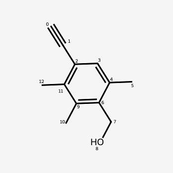 C#Cc1cc(C)c(CO)c(C)c1C